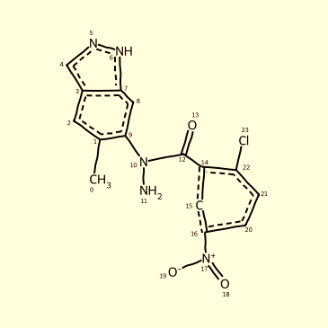 Cc1cc2cn[nH]c2cc1N(N)C(=O)c1cc([N+](=O)[O-])ccc1Cl